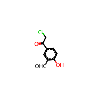 O=Cc1cc(C(=O)CCl)ccc1O